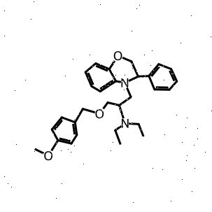 CCN(CC)C(COCc1ccc(OC)cc1)CN1c2ccccc2OCC1c1ccccc1